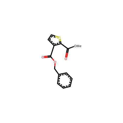 COC(=O)c1sccc1C(=O)OCc1ccccc1